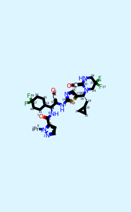 CC(C)n1nccc1C(=O)N[C@H](C(=C=O)Nc1ncc([C@@H](CC2CC2)N2CC(F)(F)CNC2=C=O)s1)C1CCC(F)(F)CC1